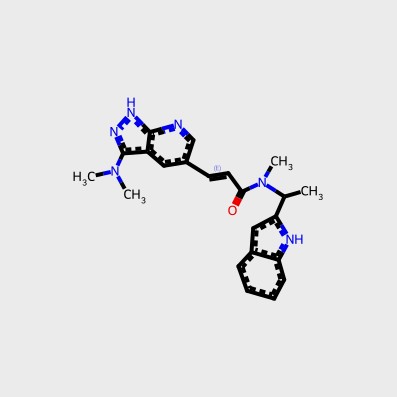 CC(c1cc2ccccc2[nH]1)N(C)C(=O)/C=C/c1cnc2[nH]nc(N(C)C)c2c1